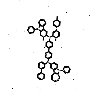 CC1C=CC(C2=CC(N(C3=Cc4c(n(-c5ccccc5)c5ccccc45)CC3C)c3ccc(-c4ccc(N(c5cccc(C6=CC=CCC6)c5)c5ccc6c(c5)c5c(n6-c6ccccc6)CC=CC=C5)cc4)cc3)C(C)C=C2)=CC1